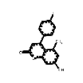 Cc1cc(O)cc2oc(=O)cc(-c3ccc(F)cc3)c12